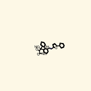 COC1C(=O)Nc2ccc(/C=C/c3ccc(-c4ccccc4)o3)c(O)c2C1(O)c1ccccc1